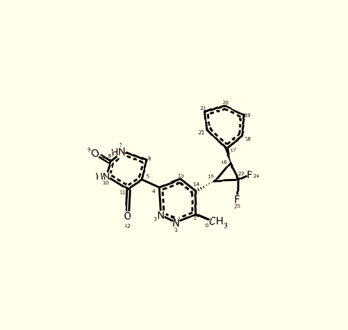 Cc1nnc(-c2c[nH]c(=O)[nH]c2=O)cc1[C@@H]1[C@@H](c2ccccc2)C1(F)F